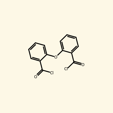 O=C(Cl)c1ccccc1Oc1ccccc1C(=O)Cl